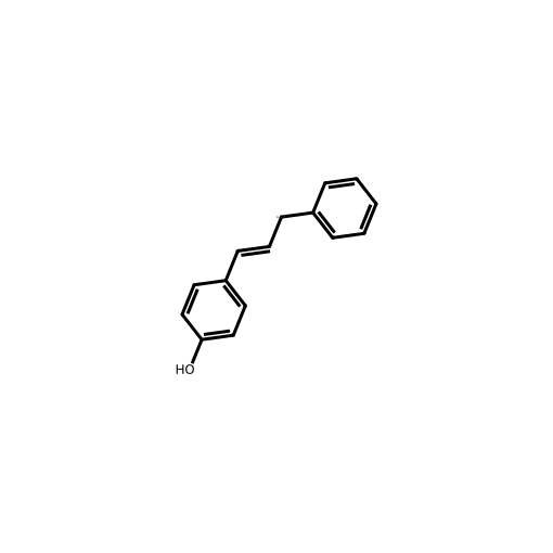 Oc1ccc(C=C[CH]c2ccccc2)cc1